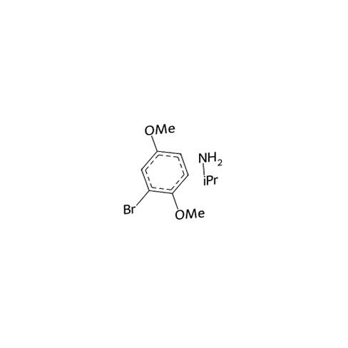 CC(C)N.COc1ccc(OC)c(Br)c1